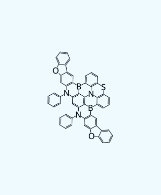 c1ccc(N2c3cc4oc5ccccc5c4cc3B3c4cccc5c4N4c6c(cccc6B6c7cc8c(cc7N(c7ccccc7)c7cc2c3c4c76)oc2ccccc28)S5)cc1